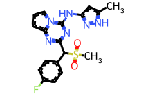 Cc1cc(Nc2nc(C(c3ccc(F)cc3)S(C)(=O)=O)nc3cccn23)n[nH]1